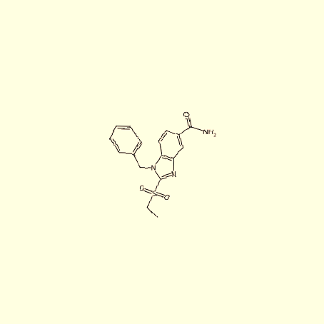 CCS(=O)(=O)c1nc2cc(C(N)=O)ccc2n1Cc1ccccc1